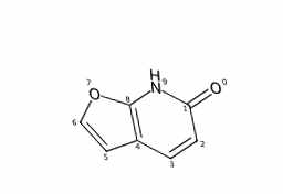 O=c1ccc2ccoc2[nH]1